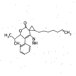 C=CCCCCCC1CC12C(=O)OC(C(C)C)C(c1ccccc1)=C2N=N